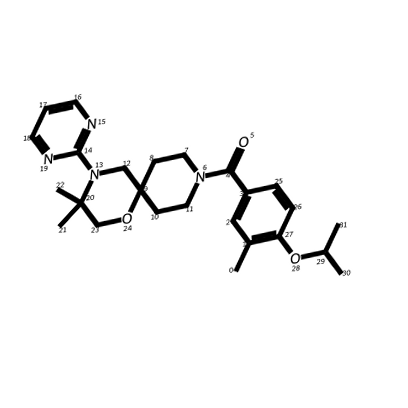 Cc1cc(C(=O)N2CCC3(CC2)CN(c2ncccn2)C(C)(C)CO3)ccc1OC(C)C